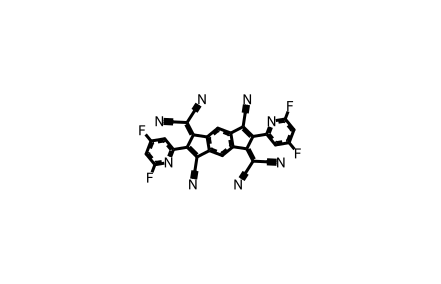 N#CC(C#N)=C1C(c2cc(F)cc(F)n2)=C(C#N)c2cc3c(cc21)C(C#N)=C(c1cc(F)cc(F)n1)C3=C(C#N)C#N